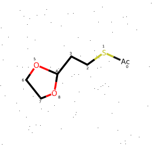 CC(=O)SCCC1OCCO1